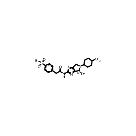 CC[C@H]1c2nc(NC(=O)Cc3ccc(S(=O)(=O)CC)cc3)sc2CN1C1CCC(C(F)(F)F)CC1